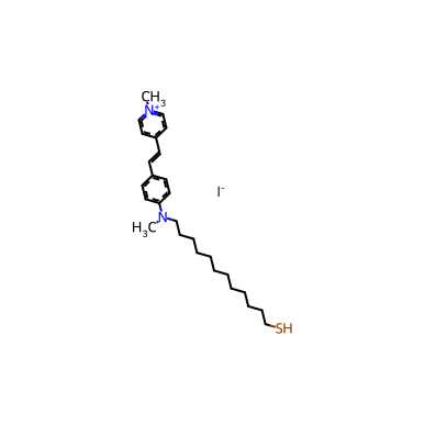 CN(CCCCCCCCCCCCS)c1ccc(/C=C/c2cc[n+](C)cc2)cc1.[I-]